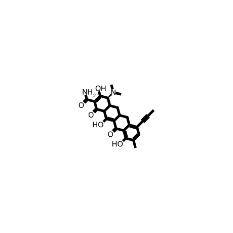 CC#Cc1cc(C)c(O)c2c1CC1CC3C(C(=O)C(C(N)=O)=C(O)[C@H]3N(C)C)C(O)=C1C2=O